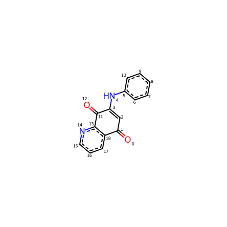 O=C1C=C(Nc2ccccc2)C(=O)c2ncccc21